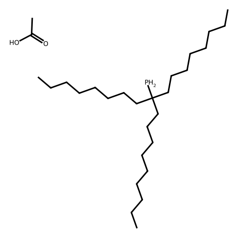 CC(=O)O.CCCCCCCCCC(P)(CCCCCCCC)CCCCCCCC